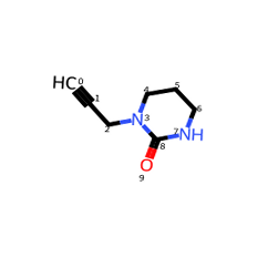 C#CCN1CCCNC1=O